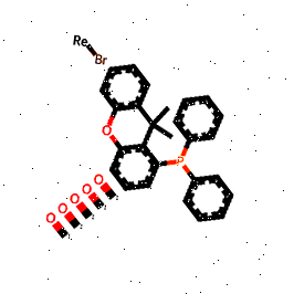 CC1(C)c2ccccc2Oc2cccc(P(c3ccccc3)c3ccccc3)c21.[Br][Re].[C]=O.[C]=O.[C]=O.[C]=O.[C]=O